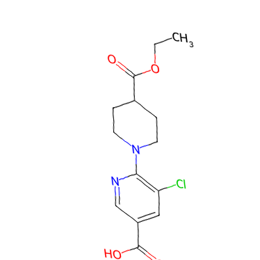 CCOC(=O)C1CCN(c2ncc(C(=O)O)cc2Cl)CC1